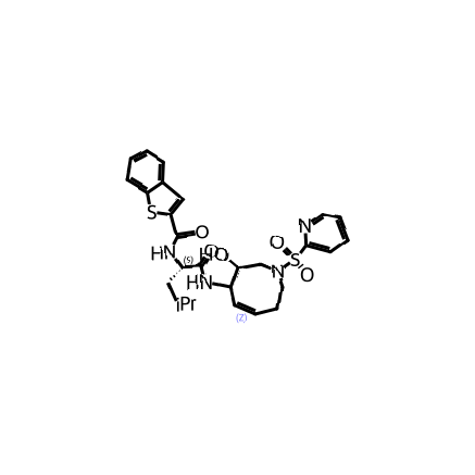 CC(C)C[C@H](NC(=O)c1cc2ccccc2s1)C(=O)NC1/C=C\CCN(S(=O)(=O)c2ccccn2)CC1O